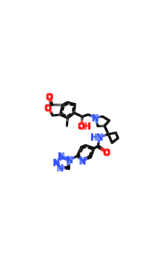 Cc1c(C(O)CN2CCC(C3(NC(=O)c4ccc(-n5cnnn5)nc4)CCC3)C2)ccc2c1COC2=O